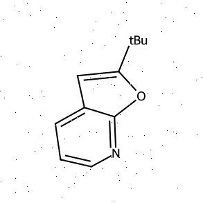 CC(C)(C)c1cc2cccnc2o1